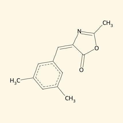 CC1=NC(=Cc2cc(C)cc(C)c2)C(=O)O1